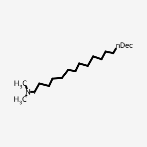 CCCCCCCCCCCCCCCCCCCCCC[CH]N(C)C